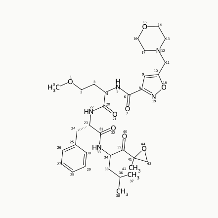 COCCC(NC(=O)c1cc(CN2CCOCC2)on1)C(=O)N[C@@H](Cc1ccccc1)C(=O)NC(CC(C)C)C(=O)C1(C)CO1